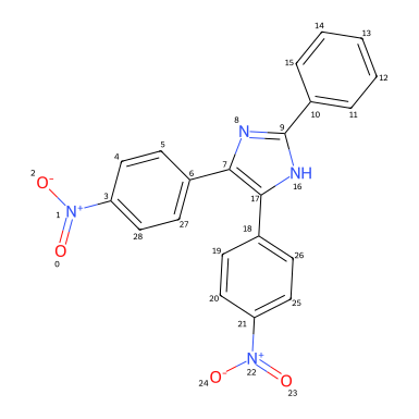 O=[N+]([O-])c1ccc(-c2nc(-c3ccccc3)[nH]c2-c2ccc([N+](=O)[O-])cc2)cc1